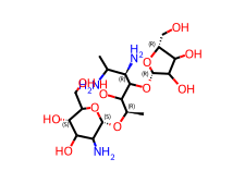 CC(N)[C@@H](N)C(O[C@@H]1O[C@H](CO)C(O)C1O)C(O)[C@@H](C)O[C@H]1OC(CO)[C@@H](O)C(O)C1N